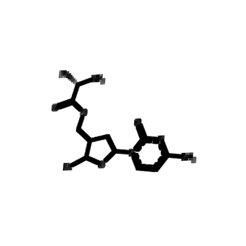 CCC1OC(n2ccc(N)nc2=O)CC1COC(=O)[C@@H](N)C(C)C